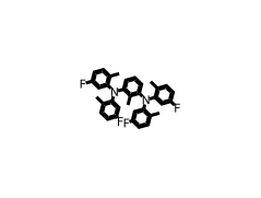 Cc1ccc(F)cc1N(c1cc(F)ccc1C)c1cccc(N(c2cc(F)ccc2C)c2cc(F)ccc2C)c1C